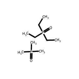 CCP(=O)(CC)CC.CP(C)(C)=O